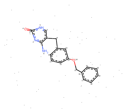 Nc1nc(=O)[nH]cc1Cc1cccc(OCc2ccccc2)c1